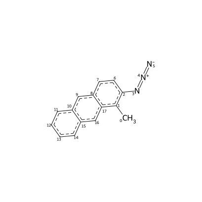 Cc1c(N=[N+]=[N-])ccc2cc3ccccc3cc12